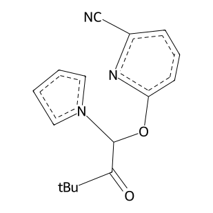 CC(C)(C)C(=O)C(Oc1cccc(C#N)n1)n1cccc1